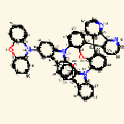 c1ccc2c(c1)Oc1ccccc1N2c1ccc2c(c1)c1ccccc1n2-c1cccc2c1Oc1c(-n3c4ccccc4c4ccccc43)cccc1C21c2cccnc2-c2ncccc21